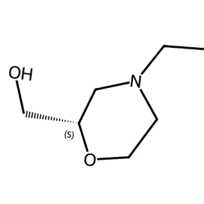 CCN1CCO[C@H](CO)C1